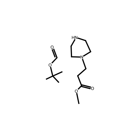 CC(C)(C)OC=O.COC(=O)CCN1CCNCC1